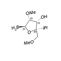 B[C@@H]1O[C@@](COC)(C(C)C)[C@@H](O)[C@H]1OC